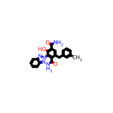 Cc1cccc(Cc2cc(C(N)=O)c(O)c(-n3nc4ccccc4n3)c2C(N)=O)c1